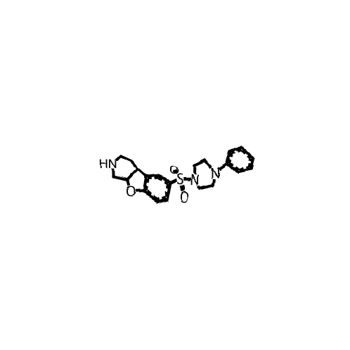 O=S(=O)(c1ccc2c(c1)C1CCNCC1O2)N1CCN(c2ccccc2)CC1